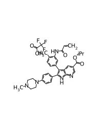 C=CC(=O)Nc1cc(-c2c(-c3ccc(N4CCN(C)CC4)cc3)[nH]c3ncc(C(=O)OC(C)C)cc23)ccc1C.O=C(O)C(F)(F)F